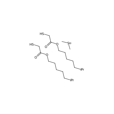 CC(C)CCCCCOC(=O)CS.CC(C)CCCCCOC(=O)CS.[CH3][Sn][CH3]